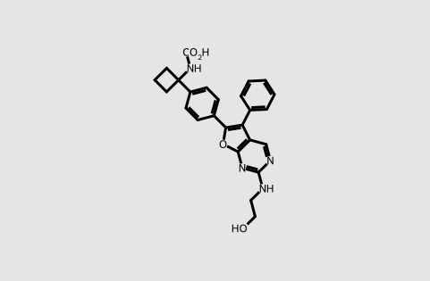 O=C(O)NC1(c2ccc(-c3oc4nc(NCCO)ncc4c3-c3ccccc3)cc2)CCC1